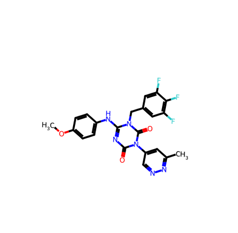 COc1ccc(Nc2nc(=O)n(-c3cnnc(C)c3)c(=O)n2Cc2cc(F)c(F)c(F)c2)cc1